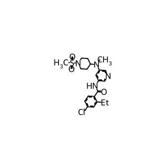 CCc1cc(Cl)ccc1C(=O)Nc1cncc(N(C)C2CCN(S(C)(=O)=O)CC2)c1